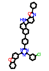 Clc1cccc(-c2nc(-c3ccc(-c4ccc5c(ccc6[nH]c7c(ccc8nc(-c9ccccc9)oc87)c65)c4)cc3)nc(-c3ccc4oc5ccccc5c4c3)n2)c1